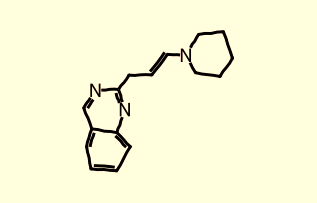 C(=CN1CCCCC1)Cc1ncc2ccccc2n1